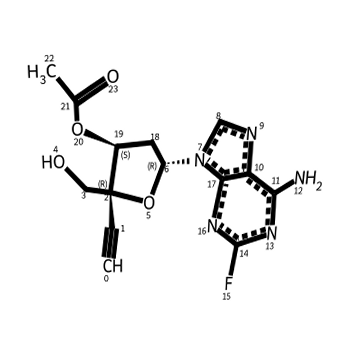 C#C[C@]1(CO)O[C@@H](n2cnc3c(N)nc(F)nc32)C[C@@H]1OC(C)=O